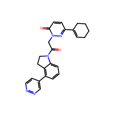 O=C(Cn1nc(C2=CCCCC2)ccc1=O)N1CCc2c(-c3ccnnc3)cccc21